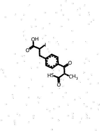 CC(C(=O)S)C(=O)c1ccc(CC(I)C(=O)O)cc1